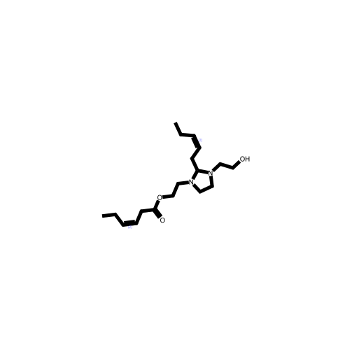 CC/C=C\CC(=O)OCCN1CCN(CCO)C1C/C=C\CC